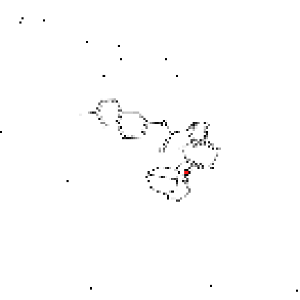 Cc1ccc2cc(OC(=O)c3c4c5oc3c(OC(=O)C36CC7CC(C3)C(=O)C(C7)C6)c5OC4=O)ccc2c1